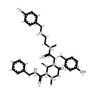 C[C@H]1N([C@@H](Cc2ccc(O)cc2)C(=O)N(C)CCOCc2ccc(F)cc2)C(=O)CN(C)N1C(=O)NCc1ccccc1